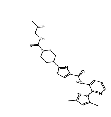 C=C(C)CNC(=S)N1CCC(c2nc(C(=O)Nc3cccnc3-n3nc(C)cc3C)cs2)CC1